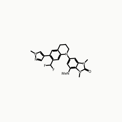 CNc1cc(N2CCCc3cc(-c4cnn(C)c4)c(C(F)F)cc32)cc2c1n(C)c(=O)n2C